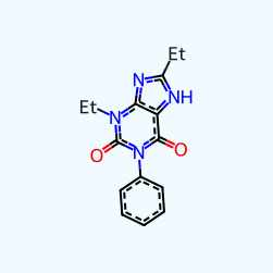 CCc1nc2c([nH]1)c(=O)n(-c1ccccc1)c(=O)n2CC